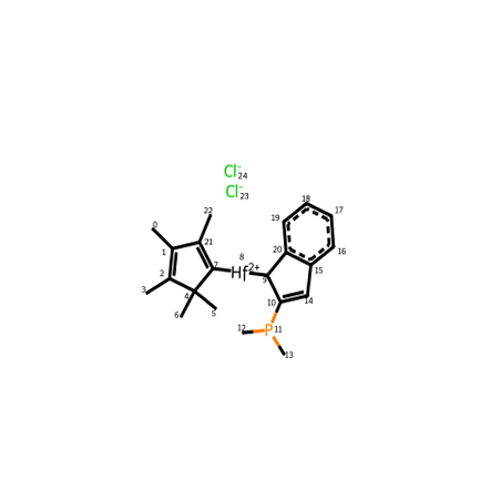 CC1=C(C)C(C)(C)[C]([Hf+2][CH]2C(P(C)C)=Cc3ccccc32)=C1C.[Cl-].[Cl-]